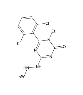 CCCNNc1nc(-c2c(Cl)cccc2Cl)n(CC)c(=O)n1